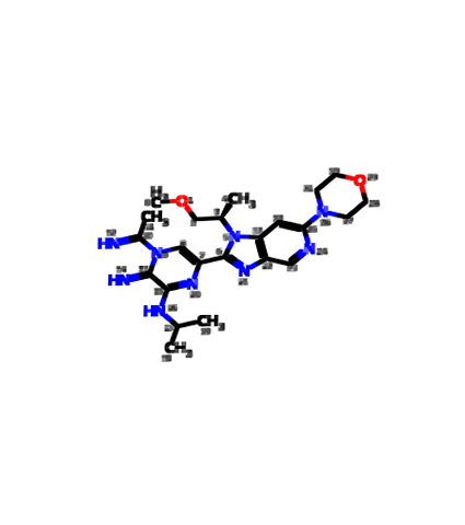 COC[C@@H](C)n1c(-c2cn(C(C)=N)c(=N)c(NC(C)C)n2)nc2cnc(N3CCOCC3)cc21